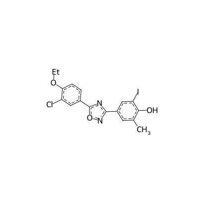 CCOc1ccc(-c2nc(-c3cc(C)c(O)c(I)c3)no2)cc1Cl